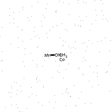 O.[Co].[OH][Mn]